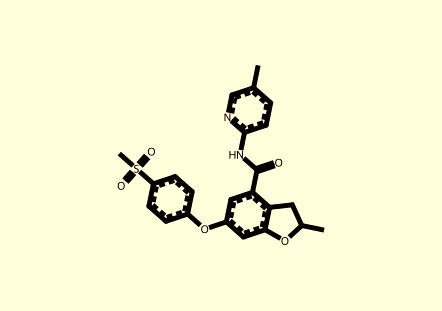 Cc1ccc(NC(=O)c2cc(Oc3ccc(S(C)(=O)=O)cc3)cc3c2CC(C)O3)nc1